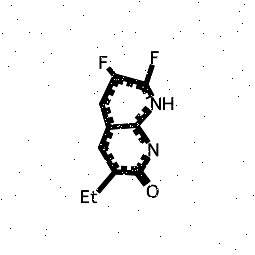 CCc1cc2cc(F)c(F)[nH]c-2nc1=O